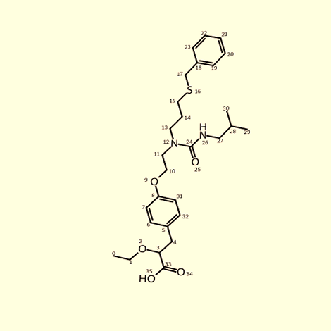 CCOC(Cc1ccc(OCCN(CCCSCc2ccccc2)C(=O)NCC(C)C)cc1)C(=O)O